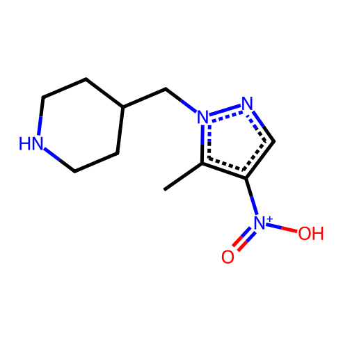 Cc1c([N+](=O)O)cnn1CC1CCNCC1